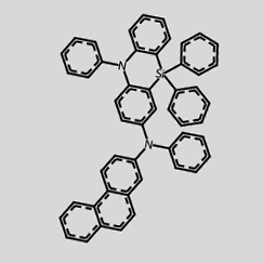 c1ccc(N(c2ccc3c(c2)[Si](c2ccccc2)(c2ccccc2)c2ccccc2N3c2ccccc2)c2ccc3c(ccc4ccccc43)c2)cc1